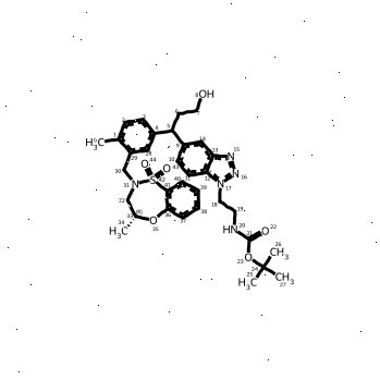 Cc1ccc(C(CCO)c2ccc3c(c2)nnn3CCNC(=O)OC(C)(C)C)cc1CN1C[C@@H](C)Oc2ccccc2S1(=O)=O